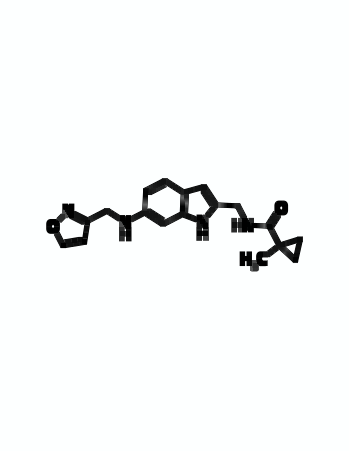 CC1(C(=O)NCc2cc3ccc(NCc4ccon4)cc3[nH]2)CC1